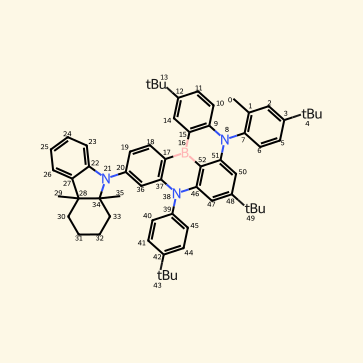 Cc1cc(C(C)(C)C)ccc1N1c2ccc(C(C)(C)C)cc2B2c3ccc(N4c5ccccc5C5(C)CCCCC45C)cc3N(c3ccc(C(C)(C)C)cc3)c3cc(C(C)(C)C)cc1c32